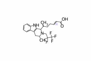 C=C(CC/C=C/C(=O)O)C1c2[nH]c3ccccc3c2CC(C)N1CC1(C(F)(F)F)CC1